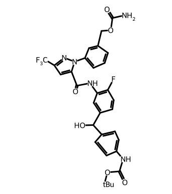 CC(C)(C)OC(=O)Nc1ccc(C(O)c2ccc(F)c(NC(=O)c3cc(C(F)(F)F)nn3-c3cccc(COC(N)=O)c3)c2)cc1